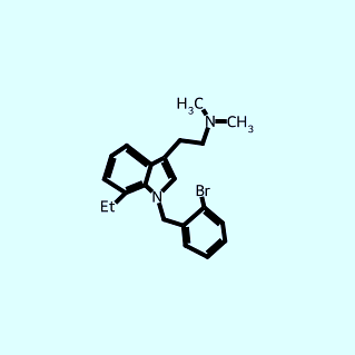 CCc1cccc2c(CCN(C)C)cn(Cc3ccccc3Br)c12